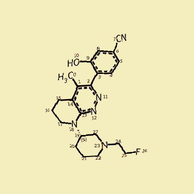 Cc1c(-c2ccc(C#N)cc2O)nnc2c1CCCN2[C@H]1CCCN(CCF)C1